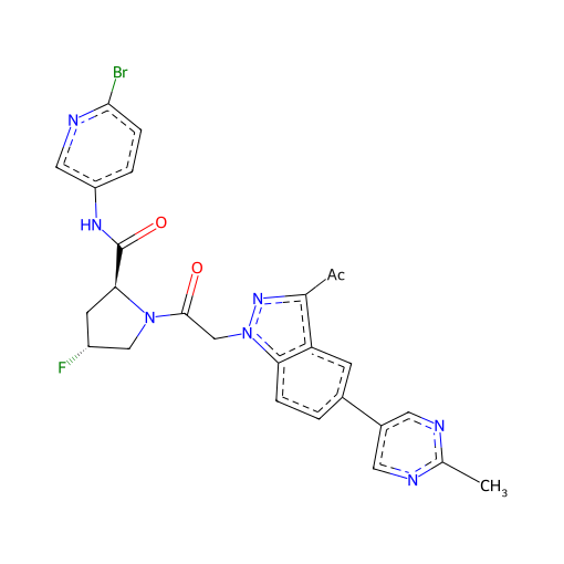 CC(=O)c1nn(CC(=O)N2C[C@H](F)C[C@H]2C(=O)Nc2ccc(Br)nc2)c2ccc(-c3cnc(C)nc3)cc12